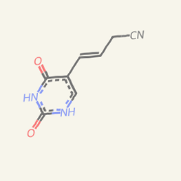 N#CC/C=C/c1c[nH]c(=O)[nH]c1=O